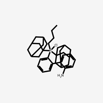 CCCCP(Cl)(c1ccccc1-c1ccccc1N)(C12CC3CC(CC(C3)C1)C2)C12CC3CC(CC(C3)C1)C2